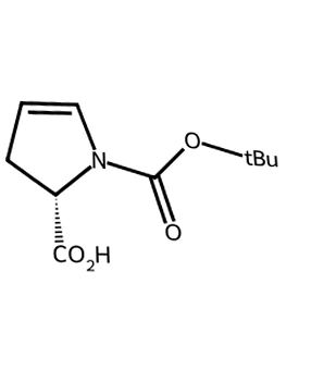 CC(C)(C)OC(=O)N1C=CC[C@H]1C(=O)O